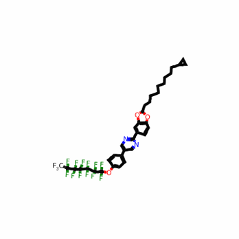 FC(F)(F)C(F)(F)C(F)(F)C(F)(F)C(F)(F)C(F)(F)C(F)(F)Oc1ccc(-c2cnc(-c3ccc4c(c3)OC(CCCCCCCCCC3CC3)O4)nc2)cc1